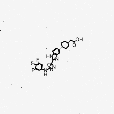 O=C(O)C[C@H]1CC[C@H](c2ccc3[nH]c(-c4nnc(Nc5cc(F)c(F)c(F)c5)o4)nc3c2)CC1